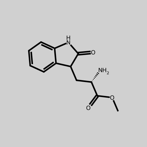 COC(=O)[C@@H](N)CC1C(=O)Nc2ccccc21